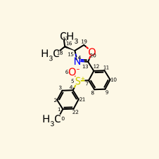 Cc1ccc([S+]([O-])c2ccccc2C2=N[C@@H](C(C)C)CO2)cc1